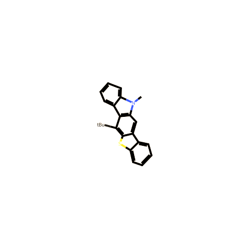 Cn1c2ccccc2c2c(C(C)(C)C)c3sc4ccccc4c3cc21